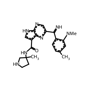 CNc1cc(C)ccc1C(=N)c1cnc2[nH]cc(C(=O)NC3(C)CCNC3)c2n1